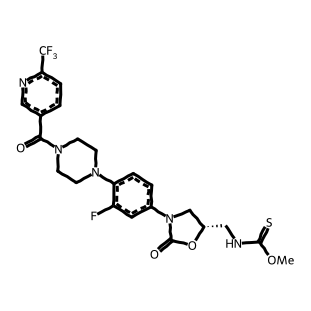 COC(=S)NC[C@H]1CN(c2ccc(N3CCN(C(=O)c4ccc(C(F)(F)F)nc4)CC3)c(F)c2)C(=O)O1